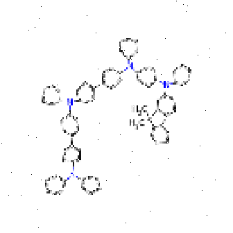 CC1(C)c2ccccc2-c2ccc(N(c3ccccc3)c3ccc(N(c4ccccc4)c4ccc(-c5ccc(N(c6ccccc6)c6ccc(-c7ccc(N(c8ccccc8)c8ccccc8)cc7)cc6)cc5)cc4)cc3)cc21